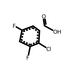 Fc1ccc(Cl)c(F)c1.O=CO